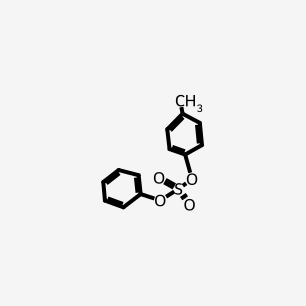 Cc1ccc(OS(=O)(=O)Oc2ccccc2)cc1